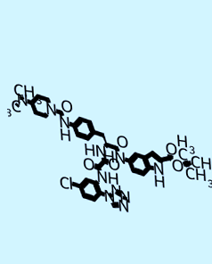 CN(C)C1CCN(C(=O)Nc2ccc(C[C@H](NC(=O)C(=O)Nc3cc(Cl)ccc3-n3cnnn3)C(=O)Nc3ccc4[nH]c(C(=O)OC(C)(C)C)cc4c3)cc2)CC1